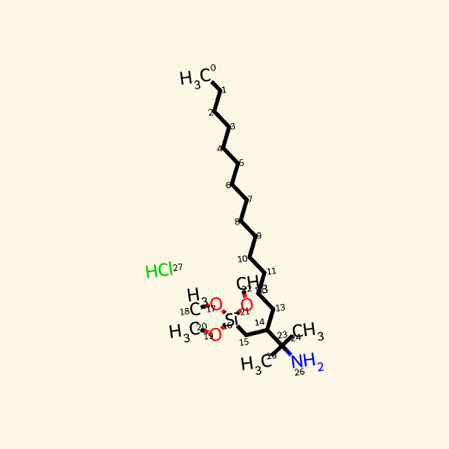 CCCCCCCCCCCCCCC(C[Si](OC)(OC)OC)C(C)(C)N.Cl